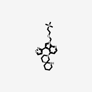 C[Si](C)(C)CCOCn1cc(-c2ccsn2)c2c(N3CCC[C@@]4(CCCCN4)C3)ccnc21